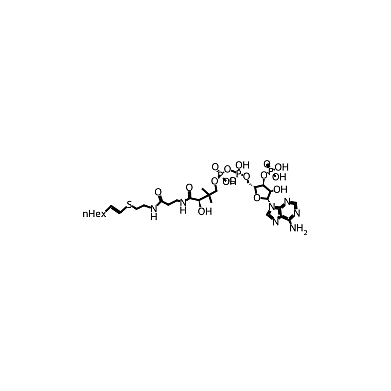 CCCCCC/C=C/SCCNC(=O)CCNC(=O)[C@H](O)C(C)(C)COP(=O)(O)OP(=O)(O)OC[C@H]1O[C@@H](n2cnc3c(N)ncnc32)[C@H](O)[C@@H]1OP(=O)(O)O